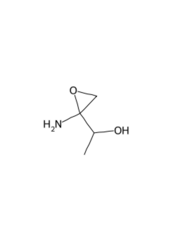 CC(O)C1(N)CO1